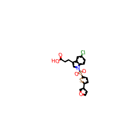 O=C(O)CCc1cn(S(=O)(=O)c2ccc(-c3ccoc3)s2)c2ccc(Cl)cc12